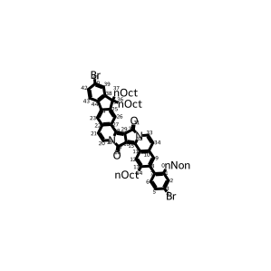 CCCCCCCCCc1cc(Br)ccc1-c1cc2c(cc1CCCCCCCC)C1=C3C(=O)N4C=Cc5cc6c(cc5C4=C3C(=O)N1C=C2)C(CCCCCCCC)(CCCCCCCC)c1cc(Br)ccc1-6